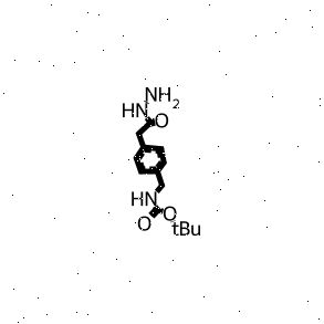 CC(C)(C)OC(=O)NCc1ccc(CC(=O)NN)cc1